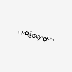 Cc1ccc(S(=O)(=O)C2CCN(c3nc(Cc4cccc(C)c4)cs3)CC2)cc1